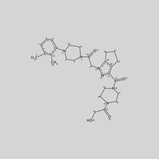 Cc1cccc(N2CCN(C(=O)Cn3nc(C(=O)N4CCN(C(=O)CO)CC4)c4c3CCC4)CC2)c1C